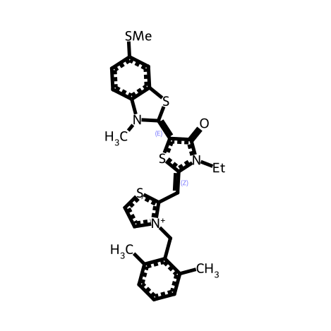 CCn1c(=O)/c(=C2\Sc3cc(SC)ccc3N2C)s/c1=C\c1scc[n+]1Cc1c(C)cccc1C